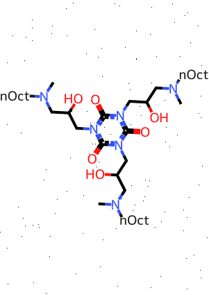 CCCCCCCCN(C)CC(O)Cn1c(=O)n(CC(O)CN(C)CCCCCCCC)c(=O)n(CC(O)CN(C)CCCCCCCC)c1=O